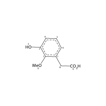 COc1c(O)cccc1CC(=O)O